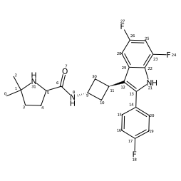 CC1(C)CCC(C(=O)N[C@H]2C[C@H](c3c(-c4ccc(F)cc4)[nH]c4c(F)cc(F)cc43)C2)N1